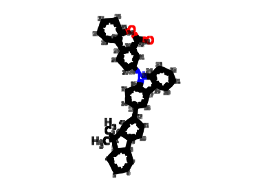 CC1(C)c2ccccc2-c2ccc(-c3ccc4c(c3)c3ccccc3n4-c3ccc4c(c3)c(=O)oc3ccccc34)cc21